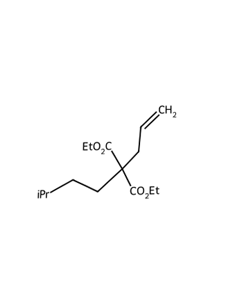 C=CCC(CCC(C)C)(C(=O)OCC)C(=O)OCC